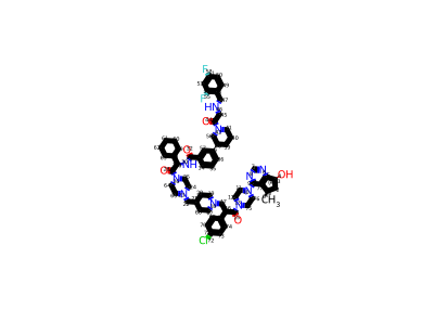 C[C@@H]1C[C@@H](O)c2ncnc(N3CCN(C(=O)C(CN4CCC(CN5CCN(C(=O)[C@H](NC(=O)c6cccc([C@H]7CCCN(C(=O)CNCc8ccc(F)cc8F)C7)c6)C6CCCCC6)CC5)CC4)c4ccc(Cl)cc4)CC3)c21